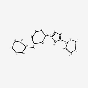 c1cc(C2CCCC(CC3CCCCC3)C2)sc1C1CCCCC1